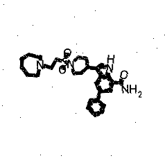 NC(=O)c1cc(-c2ccccc2)cc2c(C3CCN(S(=O)(=O)CCN4CCCCCC4)CC3)c[nH]c12